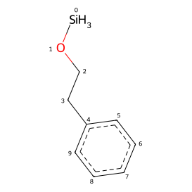 [SiH3]OCCc1ccccc1